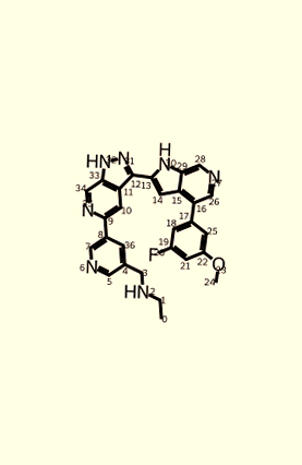 CCNCc1cncc(-c2cc3c(-c4cc5c(-c6cc(F)cc(OC)c6)cncc5[nH]4)n[nH]c3cn2)c1